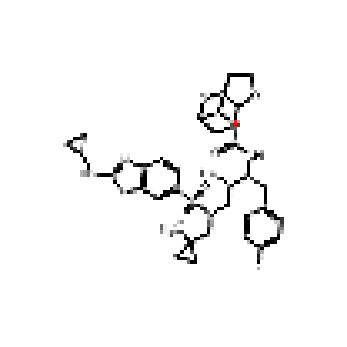 CC1(CN(C[C@@H](O)[C@H](Cc2ccc(F)cc2)NC(=O)OC2C3COC4OCC2C4O3)S(=O)(=O)c2ccc3nc(NC4CC4)sc3c2)CC1